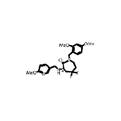 COc1ccc(CN2CCC(F)(F)C[C@@H](NCc3ccc(OC)nc3)C2=O)c(OC)c1